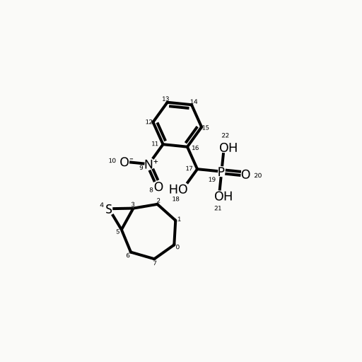 C1CCC2SC2CC1.O=[N+]([O-])c1ccccc1C(O)P(=O)(O)O